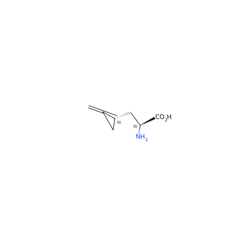 C=C1C[C@H]1C[C@H](N)C(=O)O